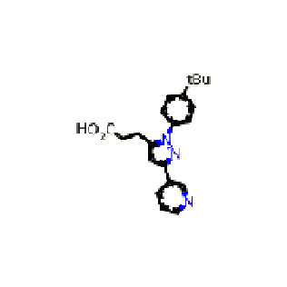 CC(C)(C)c1ccc(-n2nc(-c3cccnc3)cc2CCC(=O)O)cc1